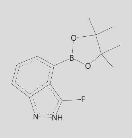 CC1(C)OB(c2cccc3n[nH]c(F)c23)OC1(C)C